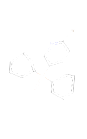 O=P(c1ccccc1)(c1ccccc1)c1ccc(Br)nc1